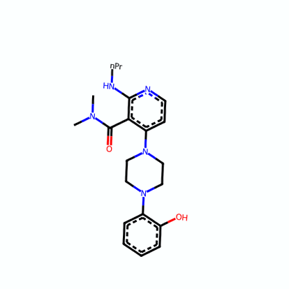 CCCNc1nccc(N2CCN(c3ccccc3O)CC2)c1C(=O)N(C)C